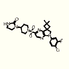 CC1(C)CC2(CN(c3ccc(Cl)c(F)c3)c3ncc(S(=O)(=O)N4CCC(N5CCNC5=O)CC4)nc32)C1